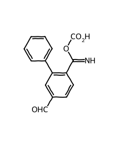 N=C(OC(=O)O)c1ccc(C=O)cc1-c1ccccc1